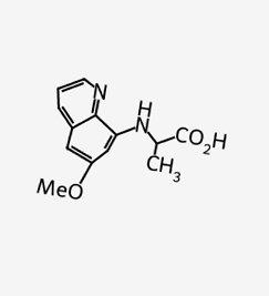 COc1cc(NC(C)C(=O)O)c2ncccc2c1